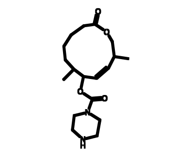 CC1C=CC(OC(=O)N2CCNCC2)C(C)CCCCC(=O)OC1